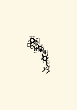 CCN(CC)CCOc1ccc(CNc2ncc3c(n2)N(C)C(=O)N(c2c(Cl)cccc2Cl)C3)cc1